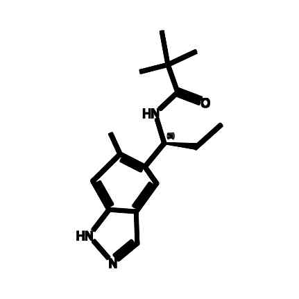 CC[C@H](NC(=O)C(C)(C)C)c1cc2cn[nH]c2cc1C